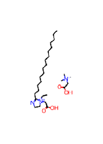 CCCCCCCCCCCCCCCCC1=NCC[N+]1(CC)CC(=O)O.C[N+](C)(C)CC(=O)O